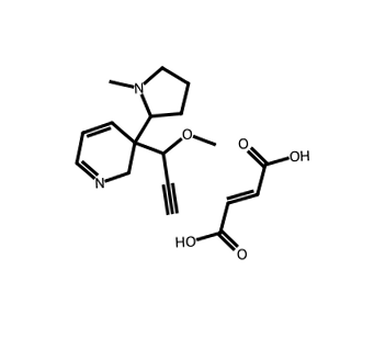 C#CC(OC)C1(C2CCCN2C)C=CC=NC1.O=C(O)/C=C/C(=O)O